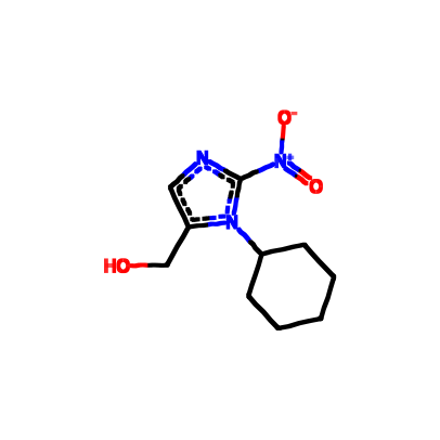 O=[N+]([O-])c1ncc(CO)n1C1CCCCC1